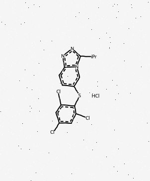 CC(C)c1nnc2ccc(Sc3c(Cl)cc(Cl)cc3Cl)cn12.Cl